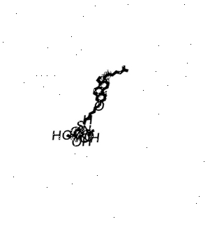 CC(=O)N[C@@H]1[C@@H](O)[C@@H](O)[C@@H](CO)O[C@H]1SCCCCCCOC1CC[C@@]2(C)C(=CCC3C2CC[C@@]2(C)C3CC[C@@H]2[C@H](C)CCCC(C)C)C1